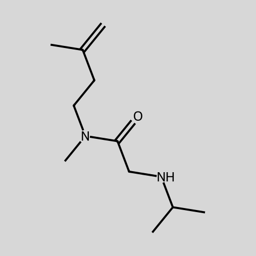 C=C(C)CCN(C)C(=O)CNC(C)C